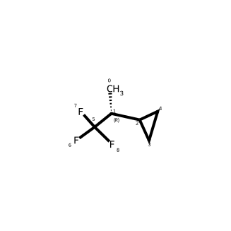 C[C@H](C1CC1)C(F)(F)F